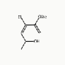 C=C(OC)/C(Cl)=C\C(C)O